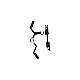 C=CCOC(=O)C=C.N#CC#N